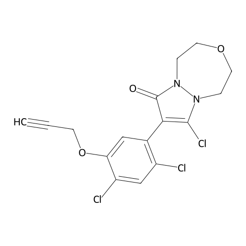 C#CCOc1cc(-c2c(Cl)n3n(c2=O)CCOCC3)c(Cl)cc1Cl